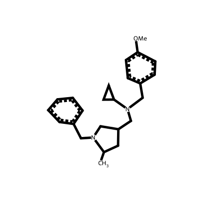 COc1ccc(CN(CC2CC(C)N(Cc3ccccc3)C2)C2CC2)cc1